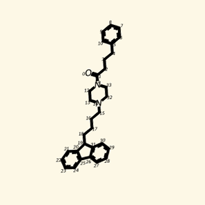 O=C(CCCc1ccccc1)N1CCN(CCCCC2c3ccccc3-c3ccccc32)CC1